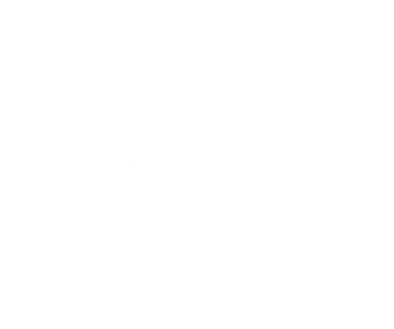 Cc1[c]sc2cccc(F)c12